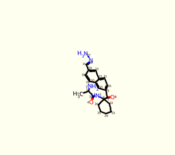 CC(N)C(=O)NC1(C(=O)c2ccc3cc(C=NN)ccc3c2)CCCCC1